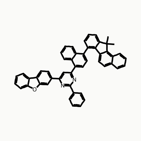 CC1(C)c2cccc(-c3ccc(-c4cc(-c5ccc6c(c5)oc5ccccc56)nc(-c5ccccc5)n4)c4ccccc34)c2-c2ccc3ccccc3c21